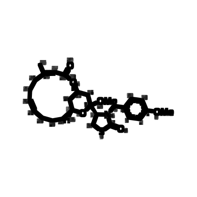 COc1ccc(CN2C(=O)SC[C@H]2C2(OC)C[C@H]3C[C@@H](CCC/C=C\CC/C(C)=C\C(=O)O3)O2)cc1